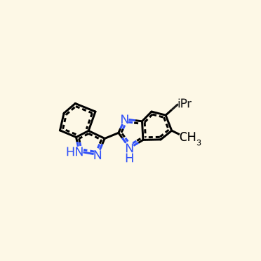 Cc1cc2[nH]c(-c3n[nH]c4ccccc34)nc2cc1C(C)C